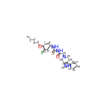 CCCCCOc1ccc(NC(=S)NC(=O)CN2CCC(NC)(c3ccccc3)CC2)cc1F